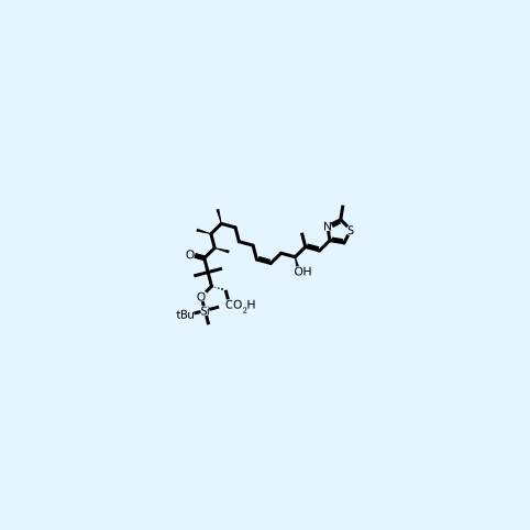 C/C(=C\c1csc(C)n1)[C@@H](O)C/C=C\CCC[C@H](C)[C@H](C)[C@@H](C)C(=O)C(C)(C)[C@H](CC(=O)O)O[Si](C)(C)C(C)(C)C